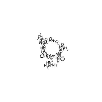 CCCC[C@H](NC(C)=O)C(=O)N[C@H]1CCC(=O)NCCCC[C@@H](C(N)=O)NC(=O)[C@H](Cc2c[nH]c3ccccc23)NC(=O)[C@H](CCCNC(=N)N)NC(=O)[C@@H](Cc2ccccc2)NC(=O)[C@H](C(C)C)NC1=O